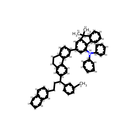 Cc1cccc(C(CCc2ccc3ccccc3c2)c2ccc3c(c2)CCc2ccc(-c4cc(N(c5ccccc5)c5ccccc5)c5c(c4)C(C)(C)c4ccccc4-5)cc2-3)c1